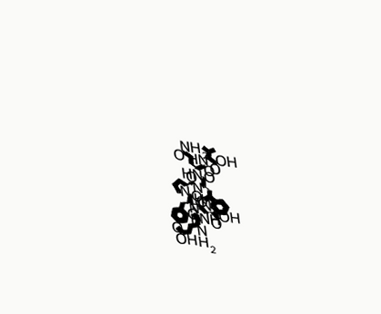 CC(C)[C@H](NC(=O)[C@H](CCC(N)=O)NC(=O)[C@H](Cc1c[nH]c2ccccc12)NC(=O)[C@@H]1CCCN1C(=O)[C@H](Cc1ccccc1)NC(=O)[C@H](CC(=O)O)NC(=O)[C@@H](N)CCC(=O)O)C(=O)O